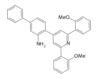 COc1ccccc1-c1cc(-c2ccc(-c3ccccc3)cc2N)cc(-c2ccccc2OC)n1